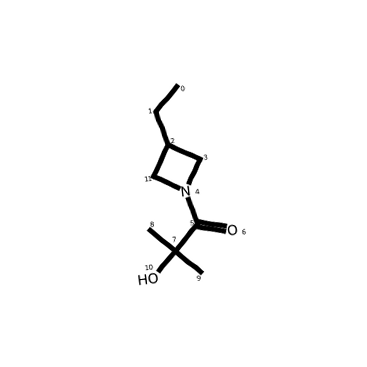 CCC1CN(C(=O)C(C)(C)O)C1